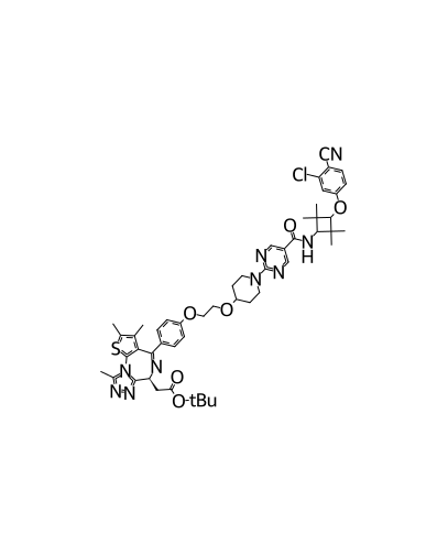 Cc1sc2c(c1C)C(c1ccc(OCCOC3CCN(c4ncc(C(=O)NC5C(C)(C)C(Oc6ccc(C#N)c(Cl)c6)C5(C)C)cn4)CC3)cc1)=N[C@@H](CC(=O)OC(C)(C)C)c1nnc(C)n1-2